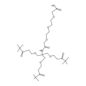 CC(C)(C)C(=O)CCOCC(COCCC(=O)C(C)(C)C)(COCCC(=O)C(C)(C)C)NC(=O)COCCOCCOCC(=O)O